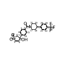 O=C(c1ccc(C2(O)C=CS(=O)(=O)C2)cc1)N1CCC(c2ccc(C(F)(F)F)cc2)CC1